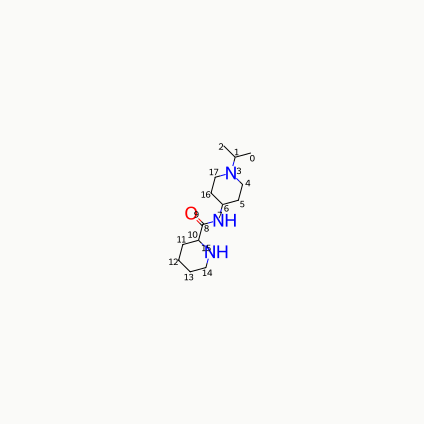 CC(C)N1CCC(NC(=O)C2CCCCN2)CC1